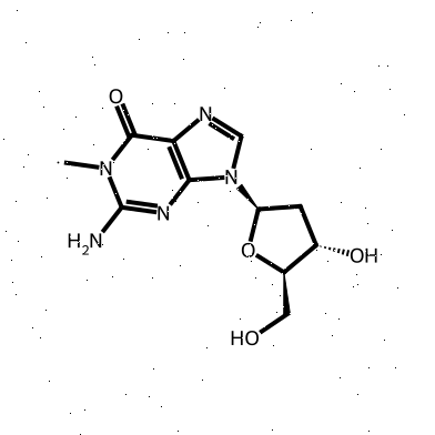 [CH2]n1c(N)nc2c(ncn2[C@H]2C[C@H](O)[C@@H](CO)O2)c1=O